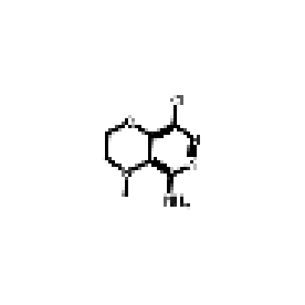 CN1CCOc2c(Cl)nnc(N)c21